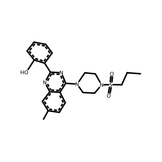 CCCS(=O)(=O)N1CCN(c2nc(-c3ccccc3O)nc3cc(C)ccc23)CC1